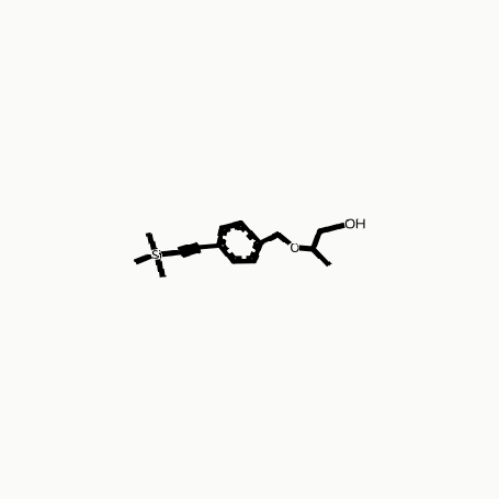 CC(CO)OCc1ccc(C#C[Si](C)(C)C)cc1